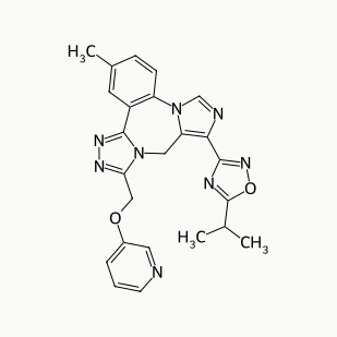 Cc1ccc2c(c1)-c1nnc(COc3cccnc3)n1Cc1c(-c3noc(C(C)C)n3)ncn1-2